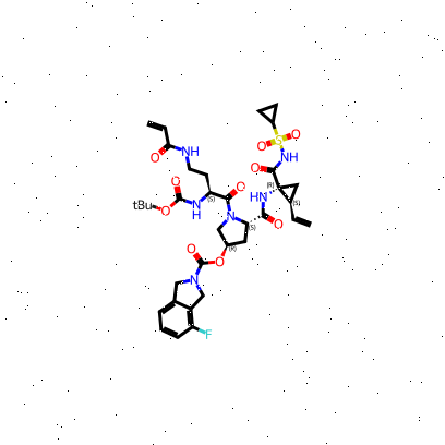 C=CC(=O)NCC[C@H](NC(=O)OC(C)(C)C)C(=O)N1C[C@H](OC(=O)N2Cc3cccc(F)c3C2)C[C@H]1C(=O)N[C@]1(C(=O)NS(=O)(=O)C2CC2)C[C@H]1C=C